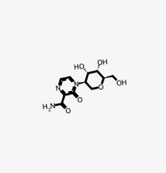 NC(=O)c1nccn([C@@H]2CO[C@H](CO)[C@@H](O)[C@H]2O)c1=O